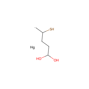 [CH2]C(S)CCC(O)O.[Hg]